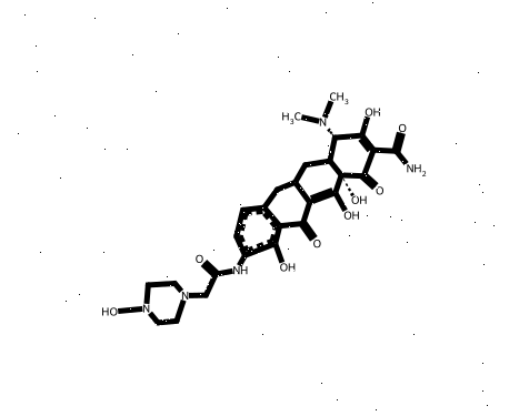 CN(C)[C@@H]1C(O)=C(C(N)=O)C(=O)[C@@]2(O)C(O)=C3C(=O)c4c(ccc(NC(=O)CN5CCN(O)CC5)c4O)CC3CC12